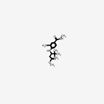 CNC(=O)c1ccc(NC(CC(=O)OC)C(C)(C)C)c(N)c1